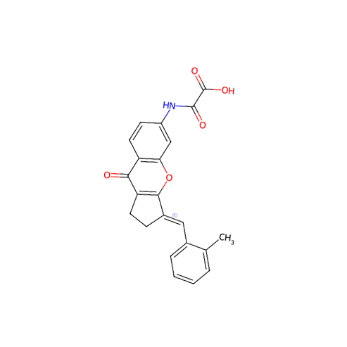 Cc1ccccc1/C=C1\CCc2c1oc1cc(NC(=O)C(=O)O)ccc1c2=O